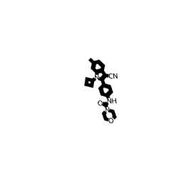 Cc1ccc2c(C#N)c(-c3ccc(NC(=O)N4CCOCC4)cc3)n(C3CCC3)c2c1